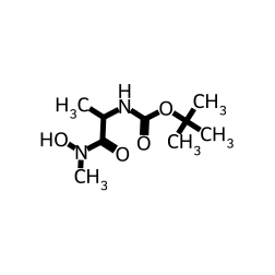 CC(NC(=O)OC(C)(C)C)C(=O)N(C)O